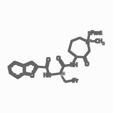 CCCCC[N+]1(C)CCCC(NC(=O)[C@H](CC(C)C)NC(=O)c2cc3ccccc3o2)C(=O)C1